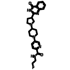 O=C(NCCF)c1ccc(N2CCC(N3CCC(c4nc5ccccc5c(=O)[nH]4)C3)CC2)cn1